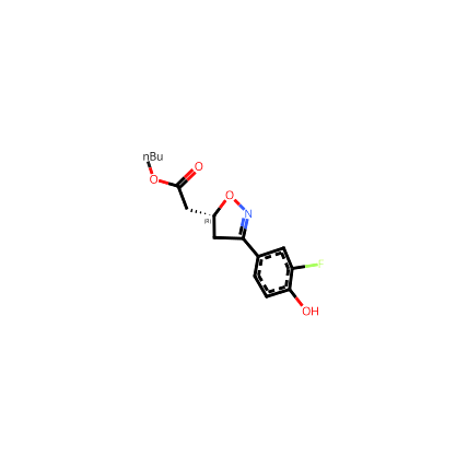 CCCCOC(=O)C[C@H]1CC(c2ccc(O)c(F)c2)=NO1